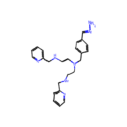 NN=Cc1ccc(CN(CCNCc2ccccn2)CCNCc2ccccn2)cc1